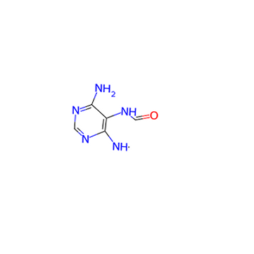 [NH]c1ncnc(N)c1NC=O